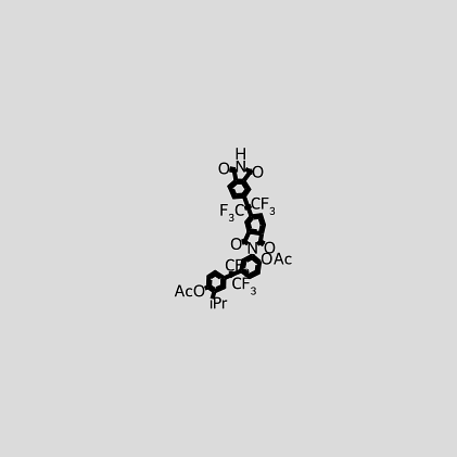 CC(=O)Oc1ccc(C(c2ccc(OC(C)=O)c(N3C(=O)c4ccc(C(c5ccc6c(c5)C(=O)NC6=O)(C(F)(F)F)C(F)(F)F)cc4C3=O)c2)(C(F)(F)F)C(F)(F)F)cc1C(C)C